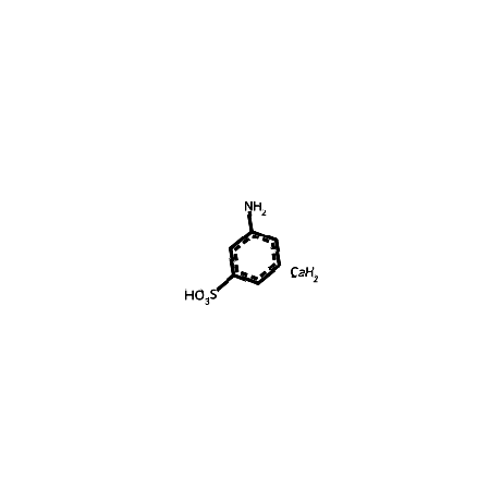 Nc1cccc(S(=O)(=O)O)c1.[CaH2]